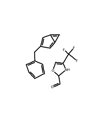 O=CC1NC(C(F)(F)F)=CO1.c1ccc(Cc2cc3cc-3c2)cc1